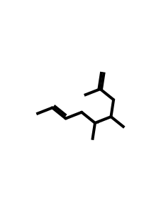 C=C(C)CC(C)[C](C)CC=CC